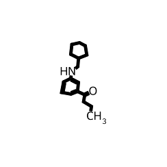 CCCC(=O)c1cccc(NCC2CCCCC2)c1